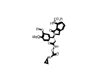 C1CC1.CCOc1cc([C@@H](CC(=O)NOC(=O)C(C)C)N2Cc3cccc(NC(=O)O)c3C2=O)ccc1OC